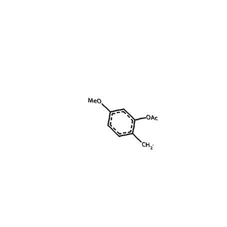 [CH2]c1ccc(OC)cc1OC(C)=O